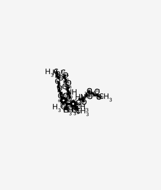 COCCOCCOCCOc1ccc(C(c2cc(C(C)(C)C)c(OCC(=O)NCCS(=O)(=O)CCC(=O)OC)cc2OCC(=O)NCCS(=O)(=O)CCC(=O)OC)C(C)(C)C)cc1